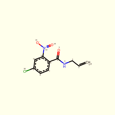 C=CCNC(=O)c1ccc(Cl)cc1[N+](=O)[O-]